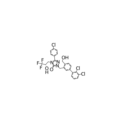 O=c1n(Cc2cc(-c3cccc(Cl)c3Cl)ccc2CO)nc(-c2ccc(Cl)cc2)n1C[C@H](O)C(F)(F)F